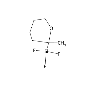 CC1([Si](F)(F)F)CCCCO1